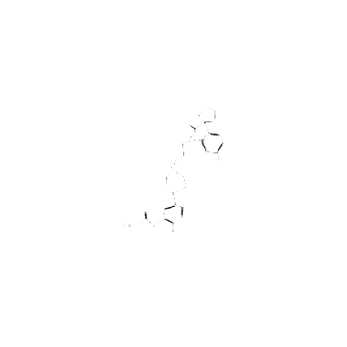 CCCC(=O)Nc1cc(C2CCN(CCCNC(=O)C3(c4ccc(F)cc4)CCCC3)CC2)ccc1F